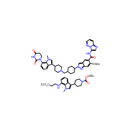 CCOC(=O)CCNc1cccc2c(C3CCN(C(=O)OC(C)(C)C)CC3)cn(C)c12.COc1cc2nn(C3CCC(CN4CCC(c5cn(C)c6c(N7CCC(=O)NC7=O)cccc56)CC4)CC3)cc2cc1C(=O)Nc1cnc2cccnn12